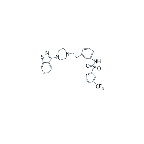 O=S(=O)(Nc1cccc(CCN2CCN(c3nsc4ccccc34)CC2)c1)c1cccc(C(F)(F)F)c1